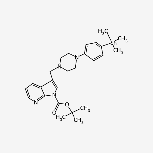 CC(C)(C)OC(=O)n1cc(CN2CCN(c3cc[c]([Sn]([CH3])([CH3])[CH3])cc3)CC2)c2cccnc21